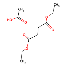 CC(=O)O.CCOC(=O)CCC(=O)OCC